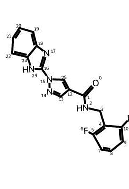 O=C(NCc1c(F)cccc1F)c1cnn(-c2nc3ccccc3[nH]2)c1